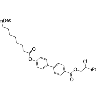 CCCCCCCCCCCCCCCCCC(=O)Oc1ccc(-c2ccc(C(=O)OCC(Cl)C(C)C)cc2)cc1